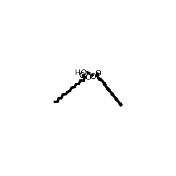 C#CC#CC#CC#CC#CC#CC(=O)OC[C@@H](CO)OC(=O)CCCCCCCCCCCCCC